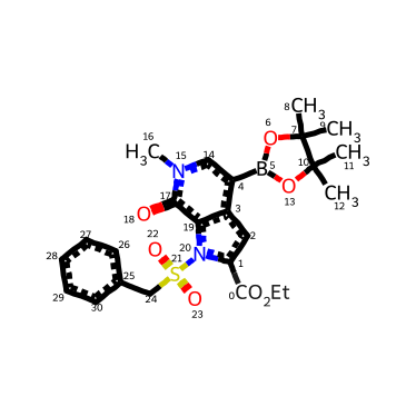 CCOC(=O)c1cc2c(B3OC(C)(C)C(C)(C)O3)cn(C)c(=O)c2n1S(=O)(=O)Cc1ccccc1